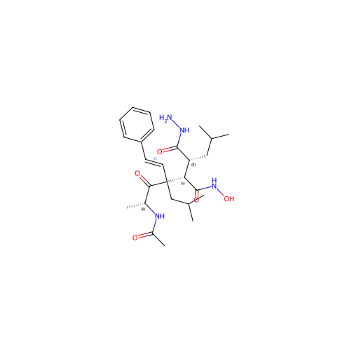 CC(=O)N[C@H](C)C(=O)C(/C=C/c1ccccc1)(CC(C)C)[C@@H](C(=O)NO)[C@@H](CC(C)C)C(=O)NN